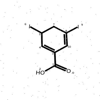 O=C(O)C1=CC(I)CC(I)=C1